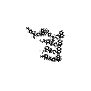 COC(=O)c1ccc(NC(=S)NC2CCN(c3nccc4ccccc34)CC2)cc1.COc1cccc(NC(=S)NC2CCN(c3nccc4ccccc34)CC2)c1.CSc1ccccc1NC(=S)NC1CCN(c2nccc3ccccc23)CC1.N#Cc1ccc(NC(=S)NC2CCN(c3nccc4ccccc34)CC2)cc1.N#Cc1cccc(NC(=S)NC2CCN(c3nccc4ccccc34)CC2)c1